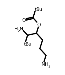 CC(C)(C)C(=O)OC(CCCN)C(N)C(C)(C)C